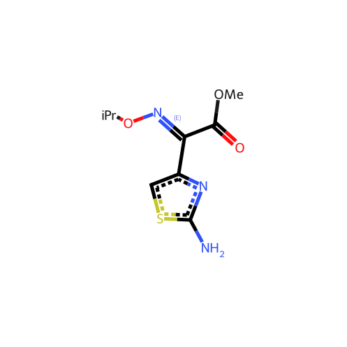 COC(=O)/C(=N/OC(C)C)c1csc(N)n1